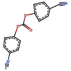 [C-]#[N+]c1ccc(OC(=O)Oc2ccc(C#N)cc2)cc1